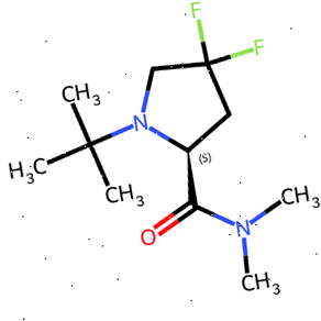 CN(C)C(=O)[C@@H]1CC(F)(F)CN1C(C)(C)C